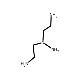 NCCN(N)CCN